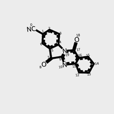 N#Cc1ccc2c(c1)C(=O)c1nc3ccccc3c(=O)n1-2